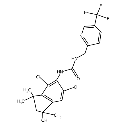 CC1(C)CC(C)(O)c2cc(Cl)c(NC(=O)NCc3ccc(C(F)(F)F)cn3)c(Cl)c21